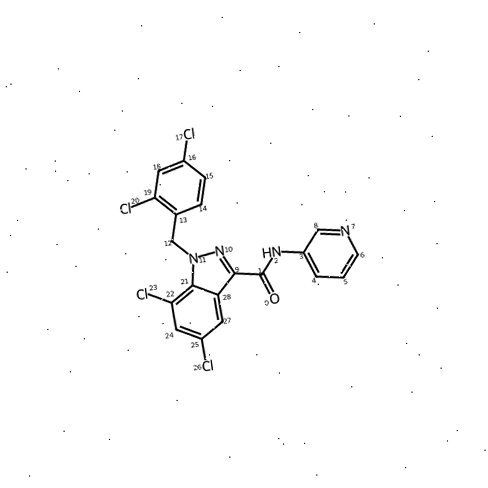 O=C(Nc1cccnc1)c1nn(Cc2ccc(Cl)cc2Cl)c2c(Cl)cc(Cl)cc12